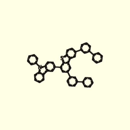 c1ccc(-c2cccc(-c3ccc4sc5c(-c6ccc7c(c6)c6ccccc6n7-c6ccccc6)cc(-c6cccc(-c7ccccc7)c6)cc5c4c3)c2)cc1